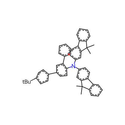 CC(C)(C)c1ccc(-c2ccc(N(c3ccc4c(c3)C(C)(C)c3ccccc3-4)c3ccc4c(c3)C(C)(C)c3ccccc3-4)c(-c3ccccc3)c2)cc1